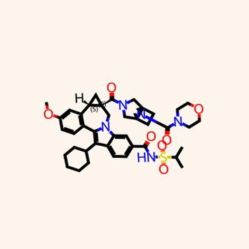 COc1ccc2c(c1)[C@@H]1C[C@]1(C(=O)N1CC34CCC3(CN(C(=O)N3CCOCC3)C4)C1)Cn1c-2c(C2CCCCC2)c2ccc(C(=O)NS(=O)(=O)C(C)C)cc21